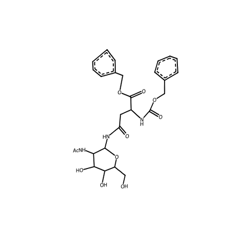 CC(=O)NC1C(NC(=O)CC(NC(=O)OCc2ccccc2)C(=O)OCc2ccccc2)OC(CO)C(O)C1O